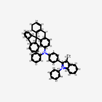 CCc1c(-c2ccc(N(c3ccccc3)c3ccc4c(c3)C3(C5=C(C=CCC5)C4)c4ccccc4-c4ccccc43)cc2)n(-c2ccccc2)c2ccccc12